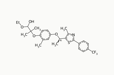 CCOC(O)C(C)(C)Oc1ccc(O[C@H](C)c2sc(-c3ccc(C(F)(F)F)cc3)nc2C)cc1C